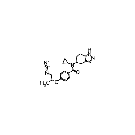 CC(CN=[N+]=[N-])Oc1ccc(C(=O)N(C2CC2)C2CCc3[nH]ncc3C2)cc1